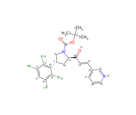 CC(C)(C)OC(=O)N1C[C@@H](c2c(F)c(F)cc(F)c2F)C[C@@H]1C(=O)/C=C/c1cccnc1